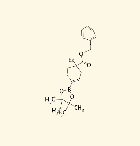 CCC1(C(=O)OCc2ccccc2)CC=C(B2OC(C)(C)C(C)(C)O2)CC1